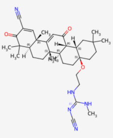 CN/C(=N\C#N)NCCO[C@]12CCC(C)(C)C[C@H]1[C@H]1C(=O)C=C3[C@@]4(C)C=C(C#N)C(=O)C(C)(C)[C@@H]4CC[C@@]3(C)[C@]1(C)CC2